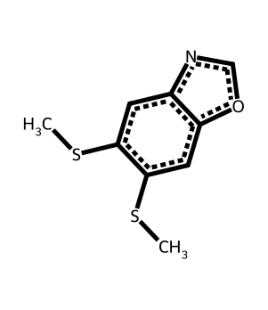 CSc1cc2ncoc2cc1SC